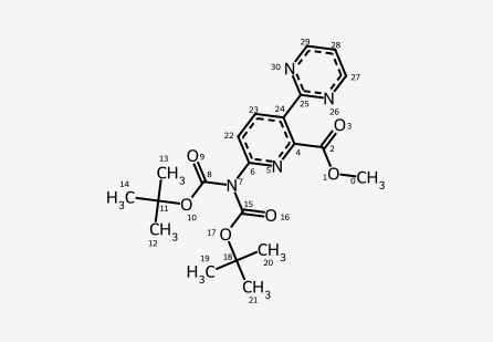 COC(=O)c1nc(N(C(=O)OC(C)(C)C)C(=O)OC(C)(C)C)ccc1-c1ncccn1